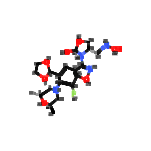 C[C@@H]1CN(c2c(C3OCCO3)cc3c(N4C(=O)OC[C@@H]4C=NO)noc3c2F)C[C@@H](C)O1